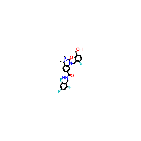 C[C@H]1c2ccc(C(=O)NCc3c(F)cc(F)cc3F)cc2N(Cc2cc(CO)ccc2F)C(=O)N1C